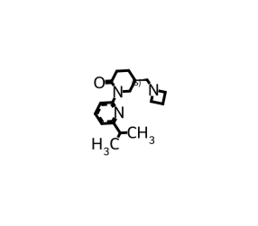 CC(C)c1cccc(N2C[C@H](CN3CCC3)CCC2=O)n1